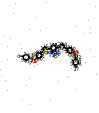 CC1CCC(C(F)(F)Oc2ccc(-c3ccc(-c4ccc(-c5ccc(-c6ccc(OC(F)(F)C7CCC(C)CC7)cc6)s5)c5nsnc45)s3)cc2)CC1